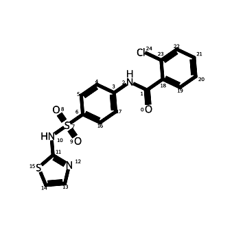 O=C(Nc1ccc(S(=O)(=O)Nc2nccs2)cc1)c1ccccc1Cl